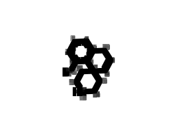 Brc1cccc2c1C1(C=CC2)CCNCC1